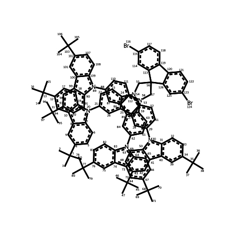 CC(C)(C)c1ccc2c(c1)c1cc(C(C)(C)C)ccc1n2-c1ccc2c(c1)c1cc(-n3c4ccc(C(C)(C)C)cc4c4cc(C(C)(C)C)ccc43)ccc1n2CC1(Cn2c3ccc(-n4c5ccc(C(C)(C)C)cc5c5cc(C(C)(C)C)ccc54)cc3c3cc(-n4c5ccc(C(C)(C)C)cc5c5cc(C(C)(C)C)ccc54)ccc32)c2cc(Br)ccc2-c2ccc(Br)cc21